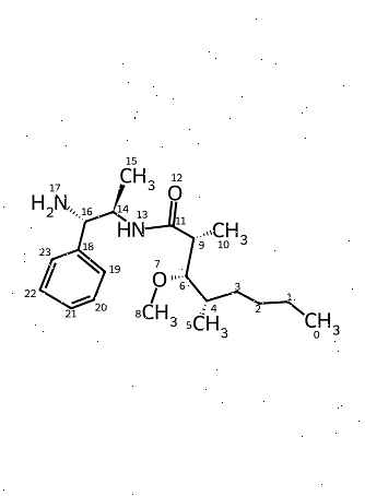 CCCC[C@H](C)[C@H](OC)[C@@H](C)C(=O)N[C@H](C)[C@@H](N)c1ccccc1